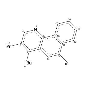 CCC(C)c1c(C(C)C)cnc2c1cc(C)c1ccccc12